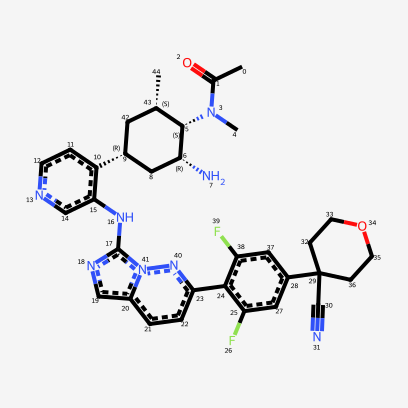 CC(=O)N(C)[C@@H]1[C@H](N)C[C@H](c2ccncc2Nc2ncc3ccc(-c4c(F)cc(C5(C#N)CCOCC5)cc4F)nn23)C[C@@H]1C